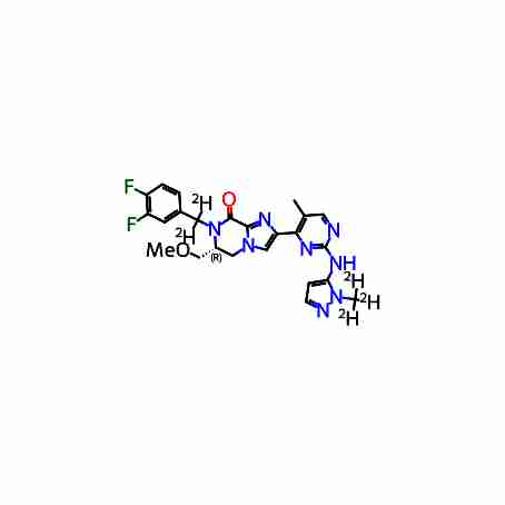 [2H]C([2H])(c1ccc(F)c(F)c1)N1C(=O)c2nc(-c3nc(Nc4ccnn4C([2H])([2H])[2H])ncc3C)cn2C[C@@H]1COC